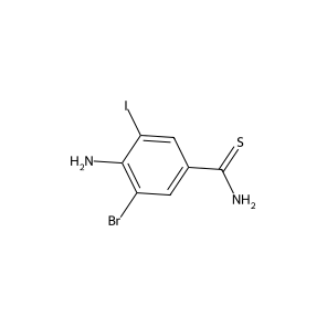 NC(=S)c1cc(Br)c(N)c(I)c1